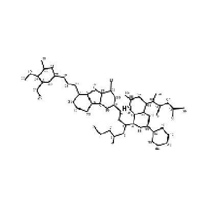 CCCC(C)CC(CCC1CC(C)C2SC3C(CCCC4CC(C)C(CC)C(CC)C4)CCCC3C2C1)C1CC(C2CCCCC2)CC2C(C(C)C(C)CC(C)C)CC(C)NC12